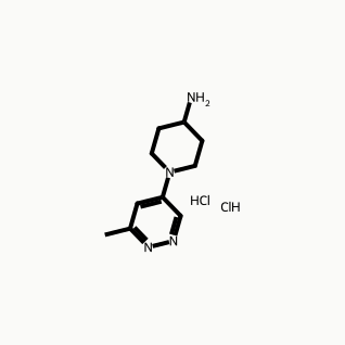 Cc1cc(N2CCC(N)CC2)cnn1.Cl.Cl